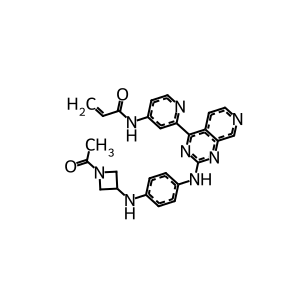 C=CC(=O)Nc1ccnc(-c2nc(Nc3ccc(NC4CN(C(C)=O)C4)cc3)nc3cnccc23)c1